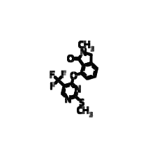 CSc1ncc(C(F)(F)F)c(Oc2cccc3c2C(=O)N(C)C3)n1